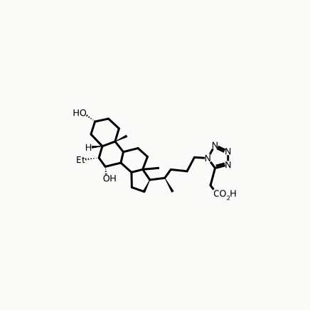 CC[C@H]1[C@@H](O)C2C3CC[C@H]([C@H](C)CCCn4nnnc4CC(=O)O)C3(C)CCC2[C@@]2(C)CC[C@@H](O)C[C@@H]12